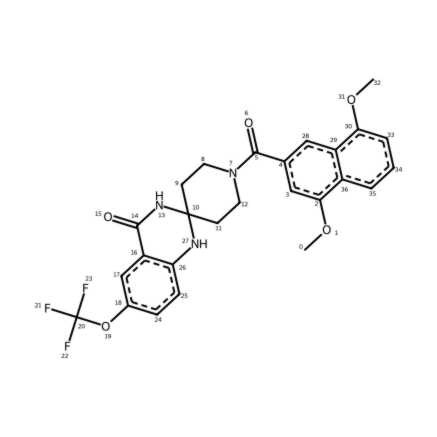 COc1cc(C(=O)N2CCC3(CC2)NC(=O)c2cc(OC(F)(F)F)ccc2N3)cc2c(OC)cccc12